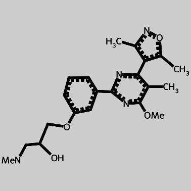 CNCC(O)COc1cccc(-c2nc(OC)c(C)c(-c3c(C)noc3C)n2)c1